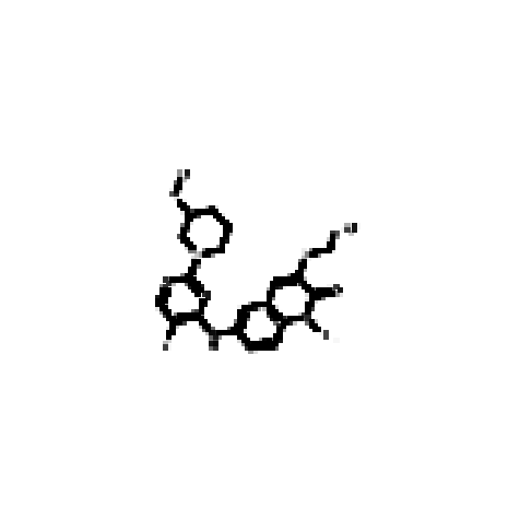 CCOC1CCCN(c2ncc(Cl)c(Nc3ccc4c(c3)cc(OCC(=O)O)c(=O)n4C)n2)C1